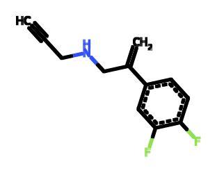 C#CCNCC(=C)c1ccc(F)c(F)c1